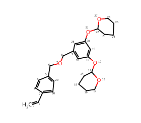 C=Cc1ccc(COCc2cc(OC3CCCCO3)cc(OC3CCCCO3)c2)cc1